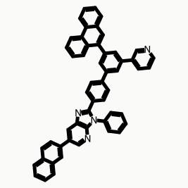 c1ccc(-n2c(-c3ccc(-c4cc(-c5cccnc5)cc(-c5cc6ccccc6c6ccccc56)c4)cc3)nc3cc(-c4ccc5ccccc5c4)cnc32)cc1